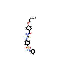 COCCOc1ccc(C(=O)NC(=S)Nc2ccc(S(=O)(=O)Nc3ccccc3)cc2)cc1